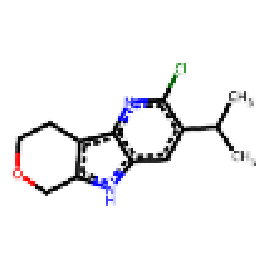 CC(C)c1cc2[nH]c3c(c2nc1Cl)CCOC3